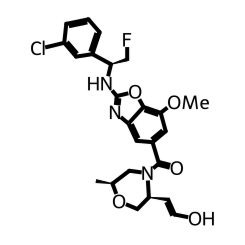 COc1cc(C(=O)N2C[C@H](C)OC[C@@H]2/C=C/O)cc2nc(N[C@H](CF)c3cccc(Cl)c3)oc12